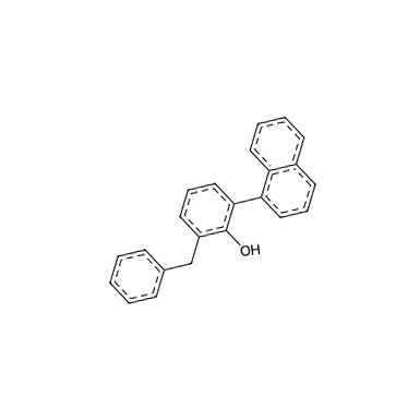 Oc1c(Cc2ccccc2)cccc1-c1cccc2ccccc12